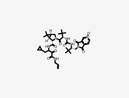 C=CCNC(=O)C(=O)C(CC1CC1)NC(=O)[C@@H]1[C@@H]2[C@H](CN1C(=O)[C@@H](NC(=O)N[C@H](CN1C(=O)c3cc[n+]([O-])cc3C1=O)C(C)(C)C)C(C)(C)C)C2(C)C